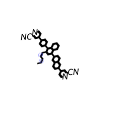 C/C=C\C=C/c1cc(-c2ccc3cc(-c4ccnc(C#N)c4)ccc3c2)c2ccccc2c1-c1ccc(-c2ccnc(C#N)c2)cc1